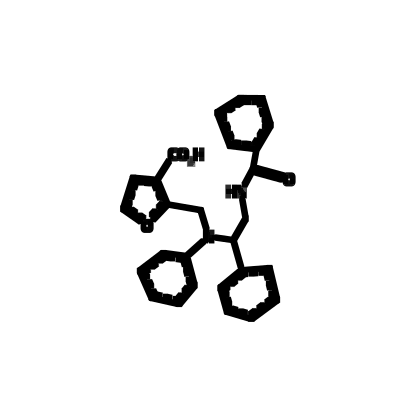 O=C(NCC(c1ccccc1)N(Cc1occc1C(=O)O)c1ccccc1)c1ccccc1